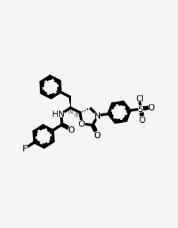 O=C(N[C@@H](Cc1ccccc1)[C@@H]1CN(c2ccc(S(=O)(=O)Cl)cc2)C(=O)O1)c1ccc(F)cc1